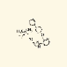 C[Si](C)(C)CCOCn1cnc(-c2cccnc2COC2CCC(c3ccccc3)CC2)n1